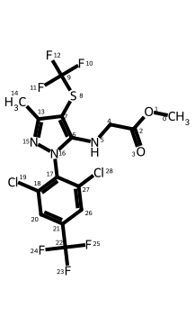 COC(=O)CNc1c(SC(F)(F)F)c(C)nn1-c1c(Cl)cc(C(F)(F)F)cc1Cl